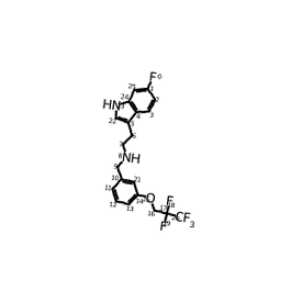 Fc1ccc2c(CCNCc3cccc(OCC(F)(F)C(F)(F)F)c3)c[nH]c2c1